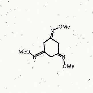 CON=C1CC(=NOC)CC(=NOC)C1